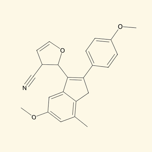 COc1ccc(C2=C(C3OC=CC3C#N)c3cc(OC)cc(C)c3C2)cc1